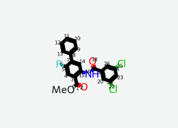 COC(=O)c1cc(F)c(-c2ccccc2)cc1NC(=O)c1cc(Cl)cc(Cl)c1